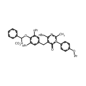 CCCCc1nc(C)n(-c2ccc(OC(C)C)cc2)c(=O)c1Cc1cc(CCC)c(OC(C(=O)O)c2ccccc2)c(CCC)c1